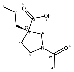 CCC[C@]1(C(=O)O)CCN(C(C)=O)C1